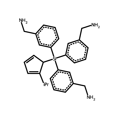 CC(C)C1=CC=C[C]1[Si](c1cccc(CN)c1)(c1cccc(CN)c1)c1cccc(CN)c1